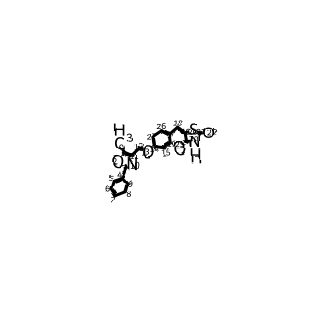 Cc1oc(-c2ccccc2)nc1COc1ccc(C=C2SC(=O)NC2=O)cc1